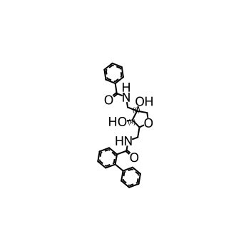 O=C(NC[C@]1(O)COC(CNC(=O)c2ccccc2-c2ccccc2)[C@H]1O)c1ccccc1